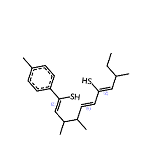 CCC(C)/C=C(S)/C=C/C(C)C(C)/C=C(\S)c1ccc(C)cc1